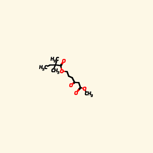 CCC(C)(C)C(=O)OCCCC(=O)CC(=O)OC